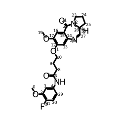 COc1cc(NC(=O)CCCOc2cc3c(cc2OC)C(=O)N2CCC[C@H]2C=N3)ccc1F